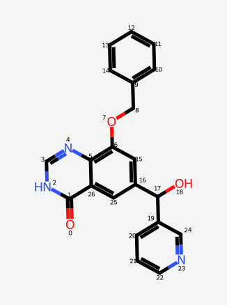 O=c1[nH]cnc2c(OCc3ccccc3)cc(C(O)c3cccnc3)cc12